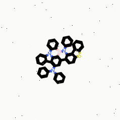 c1ccc(N2B3c4ccccc4-n4c5ccccc5c5c(N(c6ccccc6)c6ccccc6)cc(c3c54)-c3ccc4sc5ccccc5c4c32)cc1